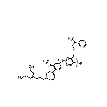 CCCN(CCO)CCCC1CCC=C(c2ccc(Nc3ncc(C(F)(F)F)c(COCCC(C)c4ccccc4)n3)cc2OC)CC1